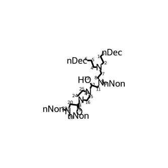 CCCCCCCCCCCCN(CCCCCCCCCCCC)CCN(CCCCCCCCC)CC(O)N1CCN(C(=O)CN(CCCCCCCCC)CCCCCCCCC)CC1